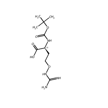 CC(C)(C)OC(=O)N[C@@H](CCONC(=N)N)C(=O)O